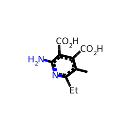 CCc1nc(N)c(C(=O)O)c(C(=O)O)c1C